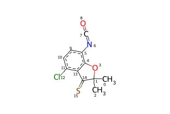 CC1(C)Oc2c(N=C=O)ccc(Cl)c2C1=S